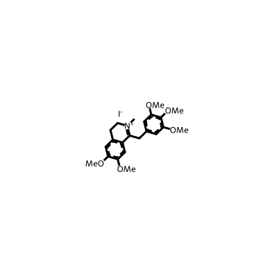 COc1cc2c(cc1OC)C(Cc1cc(OC)c(OC)c(OC)c1)=[N+](C)CC2.[I-]